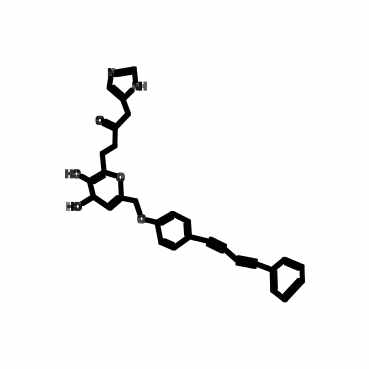 O=C(CCC1=C(O)C(O)C=C(COc2ccc(C#CC#Cc3ccccc3)cc2)O1)Cc1cnc[nH]1